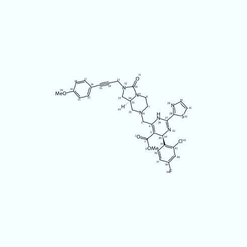 COC(=O)C1=C(CN2CCN3C(=O)N(CC#Cc4ccc(OC)cc4)C[C@@H]3C2)NC(c2nccs2)=N[C@H]1c1ccc(F)cc1Cl